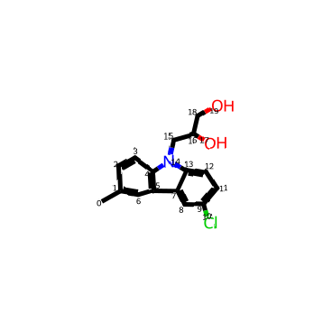 Cc1ccc2c(c1)c1cc(Cl)ccc1n2CC(O)CO